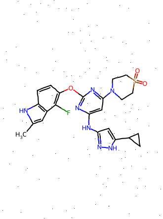 Cc1cc2c(F)c(Oc3nc(Nc4cc(C5CC5)[nH]n4)cc(N4CCS(=O)(=O)CC4)n3)ccc2[nH]1